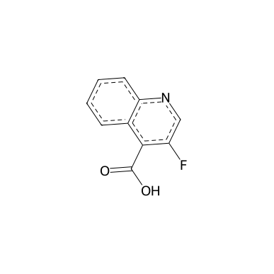 O=C(O)c1c(F)cnc2ccccc12